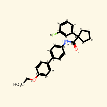 O=C(O)COc1ccc(-c2ccc(NC(=O)C3(c4cccc(F)c4)CCCC3)cc2)cc1